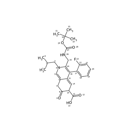 CC(C)CN1C=C2CC(=O)C(C(=O)O)C=C2C(c2ccccc2F)=C1CNC(=O)OC(C)(C)C